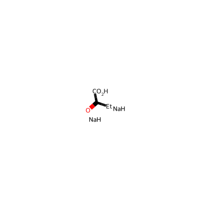 CCC(=O)C(=O)O.[NaH].[NaH]